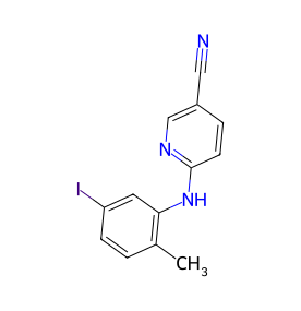 Cc1ccc(I)cc1Nc1ccc(C#N)cn1